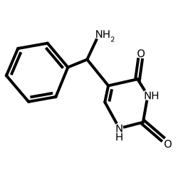 NC(c1ccccc1)c1c[nH]c(=O)[nH]c1=O